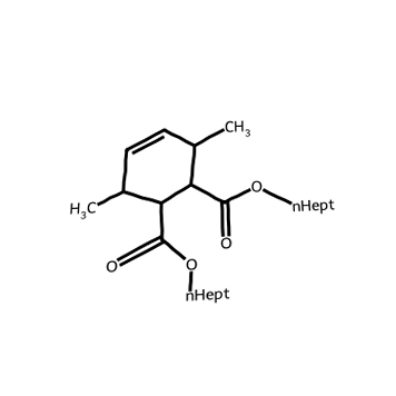 CCCCCCCOC(=O)C1C(C)C=CC(C)C1C(=O)OCCCCCCC